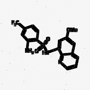 COc1cc(NS(=O)(=O)c2ccc(C(F)(F)F)cc2N)c2ncccc2c1